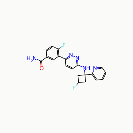 NC(=O)c1ccc(F)c(-c2ccc(NC3(c4ccccn4)CC(F)C3)nn2)c1